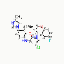 COc1cc(Nc2cc(Cl)cn(C3CCOc4ccc(F)cc43)c2=O)ccc1-n1cnc(C)c1